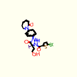 O=C(N[C@](I)(CCO)C(=O)Nc1ccc(N2CCCCCC2=O)cc1)c1ccc(Br)s1